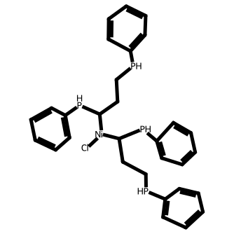 [Cl][Ni]([CH](CCPc1ccccc1)Pc1ccccc1)[CH](CCPc1ccccc1)Pc1ccccc1